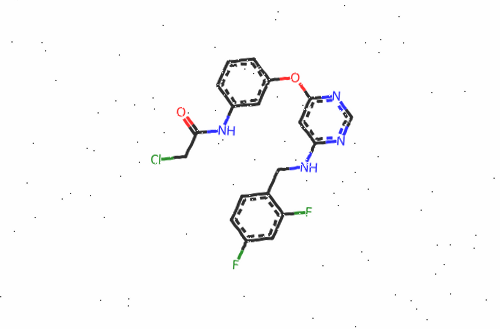 O=C(CCl)Nc1cccc(Oc2cc(NCc3ccc(F)cc3F)ncn2)c1